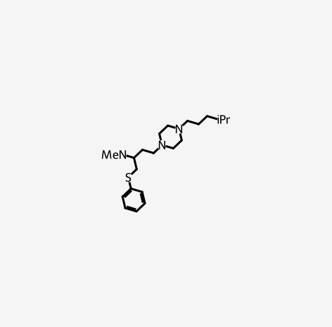 CNC(CCN1CCN(CCCC(C)C)CC1)CSc1ccccc1